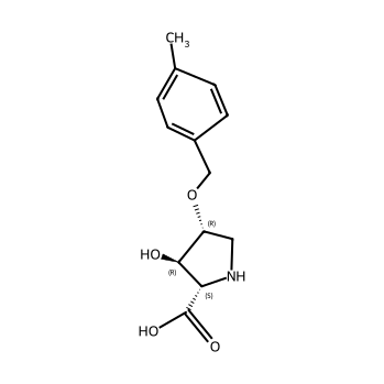 Cc1ccc(CO[C@@H]2CN[C@H](C(=O)O)[C@H]2O)cc1